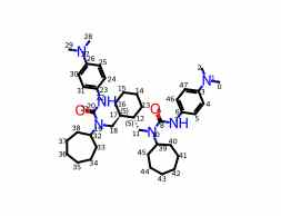 CN(C)c1ccc(NC(=O)N(C[C@H]2CCCC[C@@H]2CN(C(=O)Nc2ccc(N(C)C)cc2)C2CCCCCC2)C2CCCCCC2)cc1